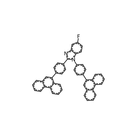 Fc1ccc2c(c1)nc(-c1ccc(-c3cc4ccccc4c4ccccc34)cc1)n2-c1ccc(-c2cc3ccccc3c3ccccc23)cc1